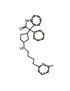 Cc1cccc(CCCCNC2CCC(C(C(N)=O)(c3ccccc3)c3ccccc3)C2)n1